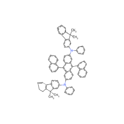 CC1(C)C2=C(C=CCC2)c2ccc(N(c3ccccc3)c3ccc4c(-c5cccc6ccccc56)c5cc(N(c6ccccc6)c6ccc7c(c6)C(C)(C)c6ccccc6-7)ccc5c(-c5cccc6ccccc56)c4c3)cc21